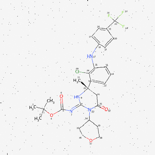 CC(C)(C)OC(=O)N=C1N[C@](C)(c2cccc(Nc3ccc(C(F)(F)F)cc3)c2Cl)CC(=O)N1C1CCOCC1